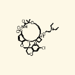 CCN(CC)CCO[C@H]1C=CCOC(C)(C)C(=O)NS(=O)(=O)c2ccc3c(c2)N(C[C@@H]2CC[C@H]21)C[C@@]1(CCOc2cc(Cl)ccc21)CO3